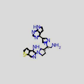 NC[C@@H]([C@H]1CCN(c2ncc3sccc3c2N)C1)n1cc(-c2ncnc3[nH]ccc23)cn1